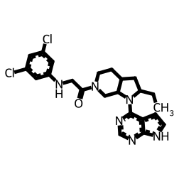 CCC1CC2CCN(C(=O)CNc3cc(Cl)cc(Cl)c3)CC2N1c1ncnc2[nH]ccc12